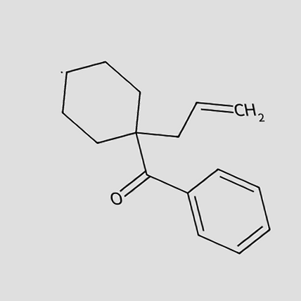 C=CCC1(C(=O)c2ccccc2)CC[CH]CC1